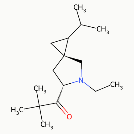 CCN1C[C@]2(CC2C(C)C)C[C@H]1C(=O)C(C)(C)C